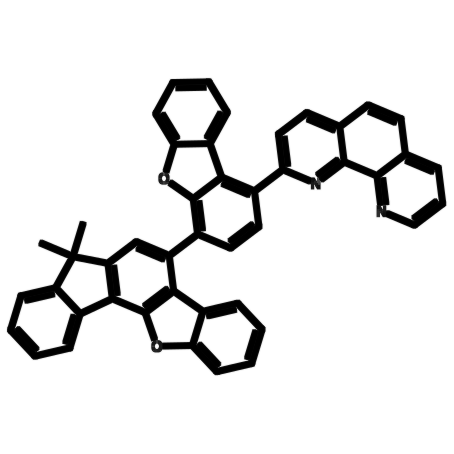 CC1(C)c2ccccc2-c2c1cc(-c1ccc(-c3ccc4ccc5cccnc5c4n3)c3c1oc1ccccc13)c1c2oc2ccccc21